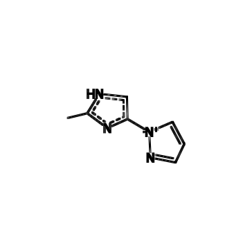 Cc1nc([N+]2C=CC=N2)c[nH]1